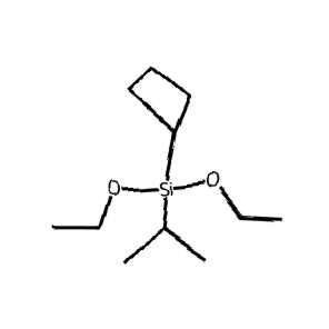 CCO[Si](OCC)(C(C)C)C1CCC1